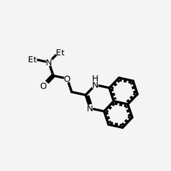 CCN(CC)C(=O)OCC1=Nc2cccc3cccc(c23)N1